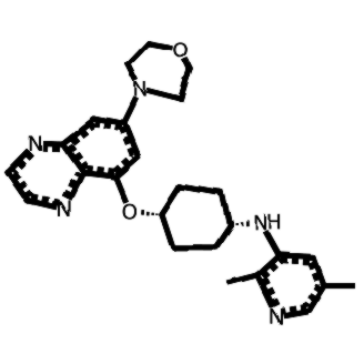 Cc1cnc(C)c(N[C@H]2CC[C@@H](Oc3cc(N4CCOCC4)cc4nccnc34)CC2)c1